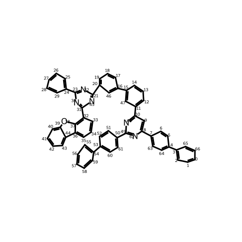 c1ccc(-c2ccc(-c3cc(-c4cccc(-c5cccc(-c6nc(-c7ccccc7)nc(-c7cccc8c7oc7ccccc78)n6)c5)c4)nc(-c4ccc(-c5ccccc5)cc4)n3)cc2)cc1